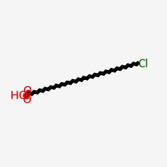 O=C(O)C(=O)CCCCCCCCCCCCCCCCCCCCCCCCCCCCCCCCCCCCCCCCCl